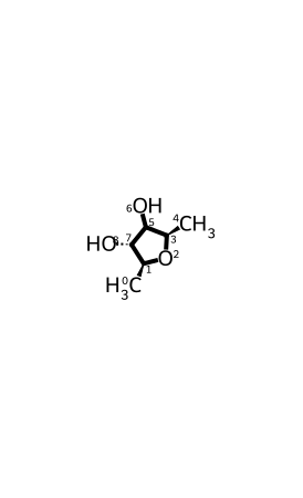 C[C@@H]1O[C@H](C)C(O)[C@H]1O